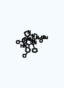 C[C@@H](c1ccc(Cl)cc1)n1cnc(-c2ccccc2)c1-c1c(C(=O)Nc2cccnc2N2CCN(C(=O)C(C)(C)C)CC2)[nH]c2cc(Cl)ccc12